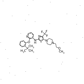 COCCN1CCN(c2sc(Nc3cccnc3Oc3ccccc3C(C)(C)C)nc2C(F)(F)F)CC1